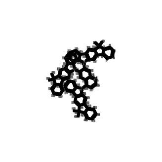 CC1(C)c2ccccc2-c2cc3c(cc21)c1ccccc1n3-c1cc2nccc(-n3c4ccccc4c4cc5c(cc43)-c3ccccc3C5(C)C)c2cc1-n1c2ccccc2c2cc3c(cc21)-c1ccccc1C3(C)C